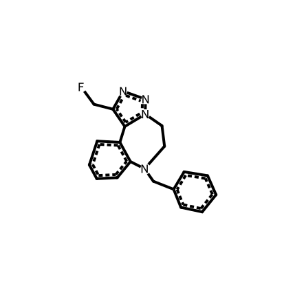 FCc1nnn2c1-c1ccccc1N(Cc1ccccc1)CC2